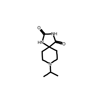 CC(C)N1CCC2(CC1)NC(=O)NC2=O